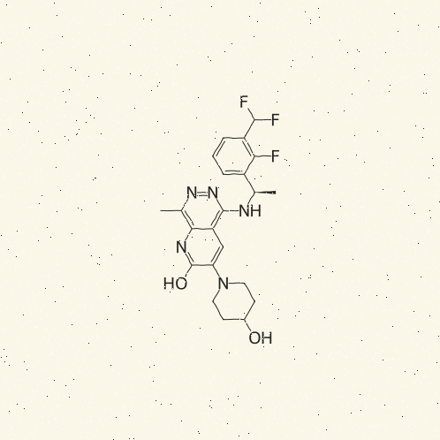 Cc1nnc(N[C@H](C)c2cccc(C(F)F)c2F)c2cc(N3CCC(O)CC3)c(O)nc12